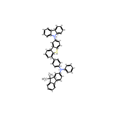 CC1(C)c2ccccc2-c2ccc(N(c3ccccc3)c3ccc(-c4cccc5c4sc4ccc(-n6c7ccccc7c7ccccc76)cc45)cc3)cc21